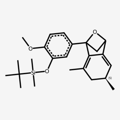 COc1ccc(C23CC(O2)C2=C[C@@H](C)CC(C)=C23)cc1O[Si](C)(C)C(C)(C)C